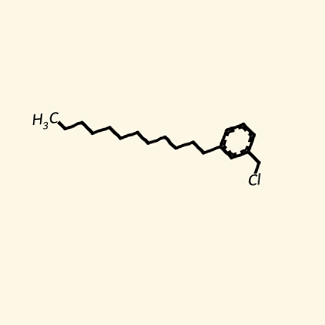 CCCCCCCCCCCCc1cccc(CCl)c1